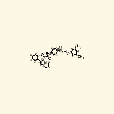 Cc1cc(C)nc(OCCNc2ccc(NC(=O)C(=O)c3c(-c4ccccc4)cc4n3CCC4)cc2)c1